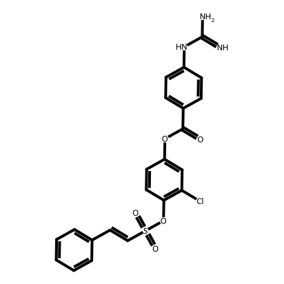 N=C(N)Nc1ccc(C(=O)Oc2ccc(OS(=O)(=O)C=Cc3ccccc3)c(Cl)c2)cc1